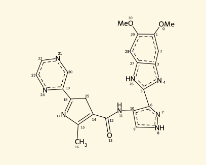 COc1cc2nc(-c3n[nH]cc3NC(=O)C3=C(C)N=C(c4cnccn4)C3)[nH]c2cc1OC